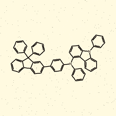 c1ccc(N(c2ccc(-c3ccc4c(c3)C(c3ccccc3)(c3ccccc3)c3ccccc3-4)cc2)c2cccc3c2c2ccccc2n3-c2ccccc2)cc1